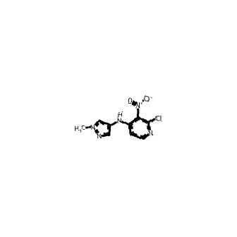 Cn1cc(Nc2ccnc(Cl)c2[N+](=O)[O-])cn1